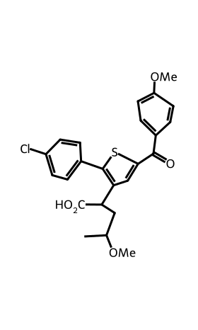 COc1ccc(C(=O)c2cc(C(CC(C)OC)C(=O)O)c(-c3ccc(Cl)cc3)s2)cc1